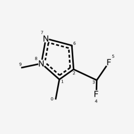 Cc1c(C(F)F)cnn1C